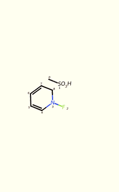 CS(=O)(=O)O.FN1C=CC=CC1